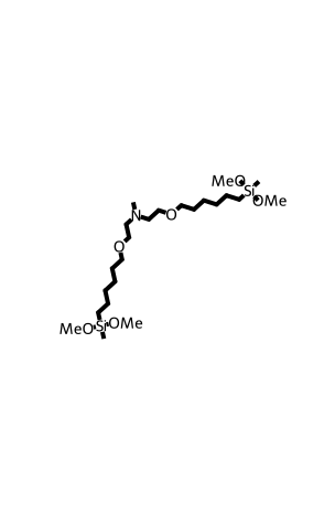 CO[Si](C)(CCCCCCOCCN(C)CCOCCCCCC[Si](C)(OC)OC)OC